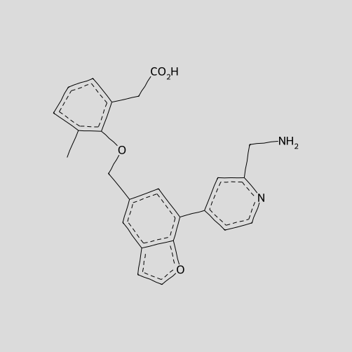 Cc1cccc(CC(=O)O)c1OCc1cc(-c2ccnc(CN)c2)c2occc2c1